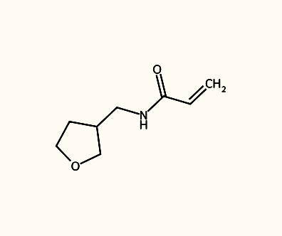 C=CC(=O)NCC1CCOC1